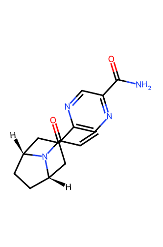 C=CC(=O)N1[C@@H]2CC[C@H]1CC(c1cnc(C(N)=O)cn1)C2